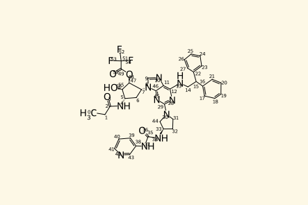 CCC(=O)N[C@H]1C[C@@H](n2cnc3c(NCC(c4ccccc4)c4ccccc4)nc(N4CC[C@@H](NC(=O)Nc5cccnc5)C4)nc32)[C@H](OC(=O)C(F)(F)F)[C@@H]1O